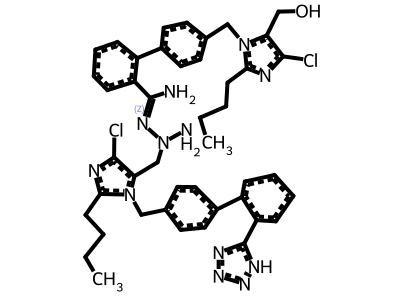 CCCCc1nc(Cl)c(CO)n1Cc1ccc(-c2ccccc2/C(N)=N/N(N)Cc2c(Cl)nc(CCCC)n2Cc2ccc(-c3ccccc3-c3nnn[nH]3)cc2)cc1